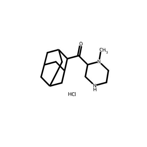 CN1CCNCC1C(=O)C1C2CC3CC(C2)CC1C3.Cl